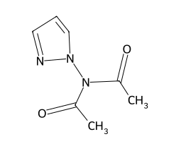 CC(=O)N(C(C)=O)n1cccn1